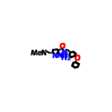 CNCCc1ccc(C(=O)NCc2ccc(Oc3ccccc3)cc2)c(N)n1